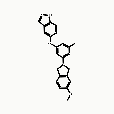 COc1ccc2c(c1)CN(c1nc(C)cc(Nc3ccc4[nH]ncc4c3)n1)C2